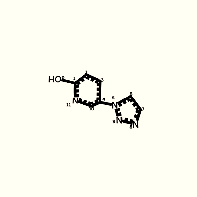 Oc1ccc(-n2ccnn2)cn1